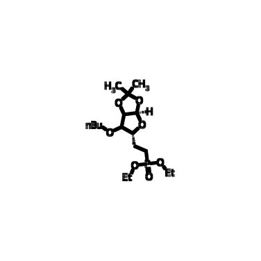 CCCCOC1C2OC(C)(C)O[C@H]2O[C@@H]1CCP(=O)(OCC)OCC